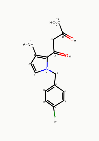 CC(=O)Nc1ccn(Cc2ccc(F)cc2)c1C(=O)CC(=O)C(=O)O